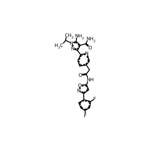 CC(C)n1nc(-c2ccc(CC(=O)Nc3cc(-c4ccc(F)cc4F)no3)cn2)c(C(N)=O)c1N